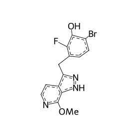 COc1nccc2c(Cc3ccc(Br)c(O)c3F)n[nH]c12